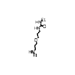 CCNCCCOCCCNC(=O)NCC